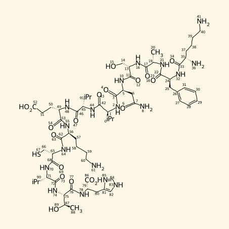 CC(C)[C@H](NC(=O)[C@H](CC(N)=O)NC(=O)[C@H](CO)NC(=O)[C@H](C)NC(=O)[C@H](Cc1ccccc1)NC(=O)[C@@H](N)CCCCN)C(=O)N[C@H](C(=O)N[C@@H](CCC(=O)O)C(=O)N[C@@H](CCCCN)C(=O)N[C@@H](CS)C(=O)N[C@H](C(=O)N[C@H](C(=O)N[C@@H](Cc1c[nH]cn1)C(=O)O)[C@@H](C)O)C(C)C)C(C)C